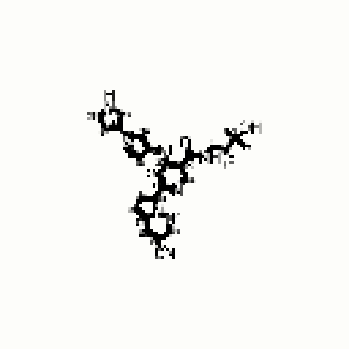 CC(C)(O)[C@H](F)CNC(=O)c1cnc(-c2ccc3cc(C#N)cnn23)cc1Nc1cnn([C@H]2CCNC2)c1